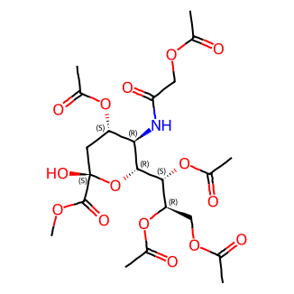 COC(=O)[C@]1(O)C[C@H](OC(C)=O)[C@@H](NC(=O)COC(C)=O)[C@H]([C@H](OC(C)=O)[C@@H](COC(C)=O)OC(C)=O)O1